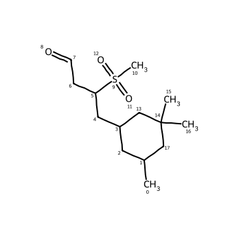 CC1CC(CC(CC=O)S(C)(=O)=O)CC(C)(C)C1